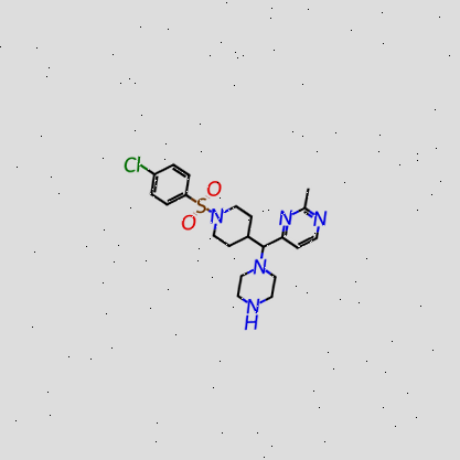 Cc1nccc(C(C2CCN(S(=O)(=O)c3ccc(Cl)cc3)CC2)N2CCNCC2)n1